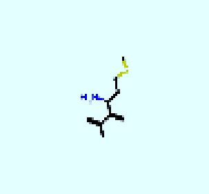 C=C(C)C(=C)[C@@H](N)CCSC